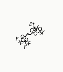 CCC(OC(=O)/C=C/C(=O)OC(F)(C(F)F)C(F)(F)F)[Si](C)(C)O[Si](C)(C)C